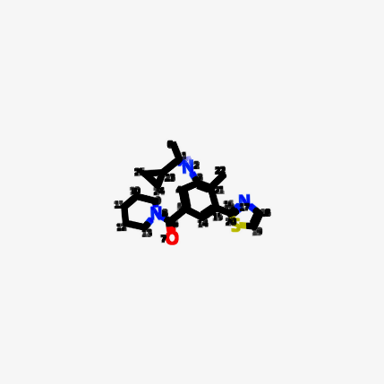 C/C(=N/c1cc(C(=O)N2CCCCC2)cc(-c2nccs2)c1C)C1CC1